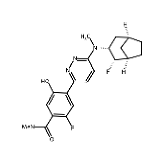 CNC(=O)c1cc(O)c(-c2ccc(N(C)[C@@H]3C[C@H]4CC[C@H](C4)[C@@H]3F)nn2)cc1F